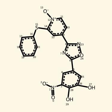 O=[N+]([O-])c1cc(-c2nc(-c3cc[n+]([O-])c(Sc4ccccc4)c3)no2)cc(O)c1O